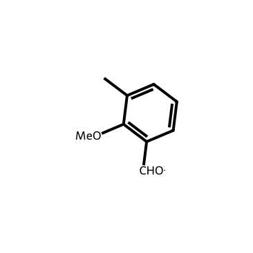 COc1c(C)cccc1[C]=O